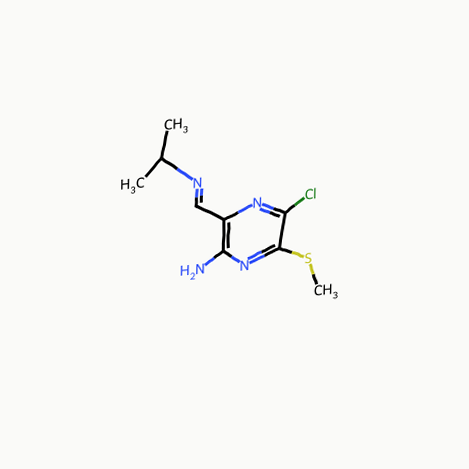 CSc1nc(N)c(/C=N/C(C)C)nc1Cl